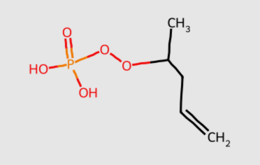 C=CCC(C)OOP(=O)(O)O